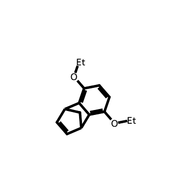 CCOc1ccc(OCC)c2c1C1C=CC2C1